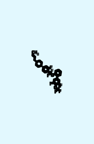 CCCC[C@H]1CC[C@H](c2ccc(C(F)(F)Oc3ccccc3-c3cc(F)c(OC(F)(F)F)c(F)c3)c(F)c2)CC1